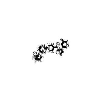 Cc1cncc([C@@H]2CCON2C(=O)C2CCN(c3nccc(N4CCC(F)(F)C4=O)n3)CC2)c1